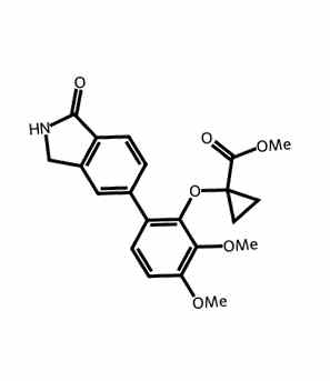 COC(=O)C1(Oc2c(-c3ccc4c(c3)CNC4=O)ccc(OC)c2OC)CC1